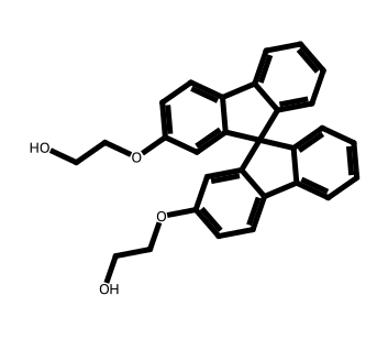 OCCOc1ccc2c(c1)C1(c3ccccc3-2)c2ccccc2-c2ccc(OCCO)cc21